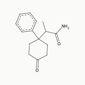 CC(C(N)=O)C1(c2ccccc2)CCC(=O)CC1